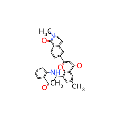 Cc1cc(C(C)Nc2ccccc2C=O)c2oc(-c3ccc4c(=O)n(C)ccc4c3)cc(=O)c2c1